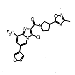 Cc1noc(C2CCN(C(=O)c3nc4c(C(F)(F)F)cc(-c5ccoc5)cn4c3Cl)C2)n1